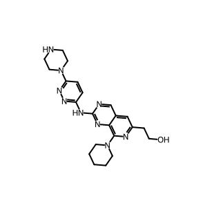 OCCc1cc2cnc(Nc3ccc(N4CCNCC4)nn3)nc2c(N2CCCCC2)n1